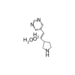 C(=C\C1CCNC1)/c1cncnc1.O.O